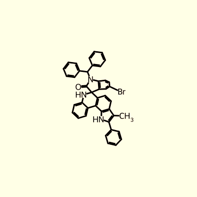 Cc1c(-c2ccccc2)[nH]c2c3c(ccc12)C1(Nc2ccccc2-3)C(=O)N(C(c2ccccc2)c2ccccc2)c2ccc(Br)cc21